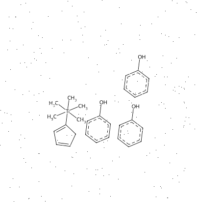 Oc1ccccc1.Oc1ccccc1.Oc1ccccc1.[CH3][Ti]([CH3])([CH3])([CH3])([CH3])[C]1=CC=CC1